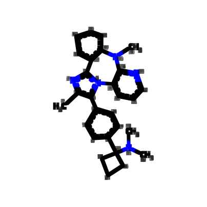 Cc1nc2n(c1-c1ccc(C3(N(C)C)CCC3)cc1)-c1cccnc1N(C)c1ccccc1-2